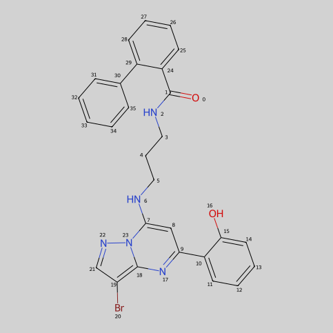 O=C(NCCCNc1cc(-c2ccccc2O)nc2c(Br)cnn12)c1ccccc1-c1ccccc1